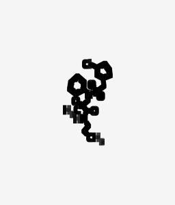 CCCNC(=O)C1(C)CN(S(=O)(=O)Cc2cccc(Cl)c2)c2ccccc2O1